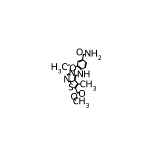 CCOc1cc(C(N)=O)ccc1Nc1ncnc2sc(C(=O)OC)c(C)c12